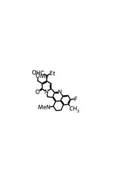 CCC(C=O)c1cc2n(c(=O)c1COC)Cc1c-2nc2cc(F)c(C)c3c2c1C(NC)CC3